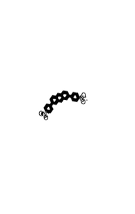 O=[N+]([O-])c1ccc(-c2ccc3cc4ccc(-c5ccc([N+](=O)[O-])cc5)cc4cc3c2)cc1